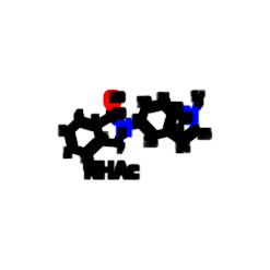 CC(=O)Nc1cccc2c1CN(c1ccc3c(ccn3C)c1)C2=O